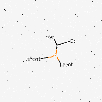 CCCCCP(CCCCC)C(CC)CCC